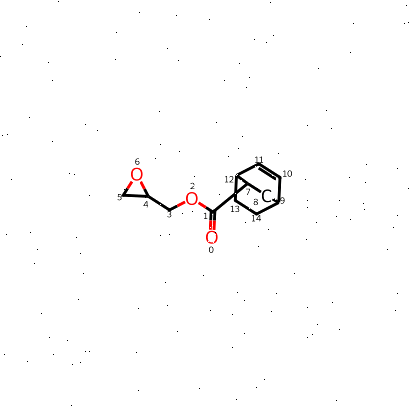 O=C(OCC1CO1)C1CC2C=CC1CC2